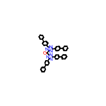 O=C(c1nc(-c2ccc(-c3ccccc3)cc2)nc(-c2ccc(-c3ccccc3)cc2)n1)c1nc(-c2ccc(-c3ccccc3)cc2)nc(-c2ccc(-c3ccccc3)cc2)n1